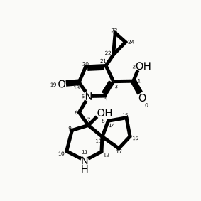 O=C(O)c1cn(CC2(O)CCNCC23CCCC3)c(=O)cc1C1CC1